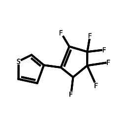 FC1=C(c2ccsc2)C(F)C(F)(F)C1(F)F